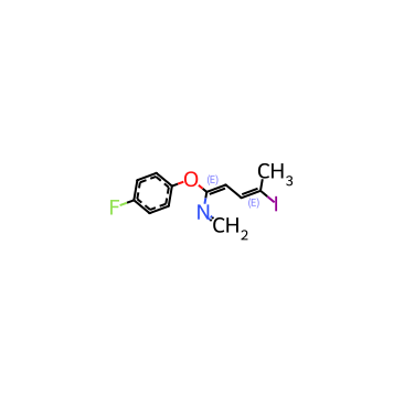 C=N/C(=C\C=C(/C)I)Oc1ccc(F)cc1